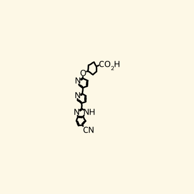 N#Cc1ccc2nc(-c3ccc(-c4ccc(OC5CCC(C(=O)O)CC5)nc4)nc3)[nH]c2c1